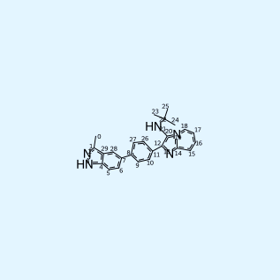 Cc1n[nH]c2ccc(-c3ccc(-c4nc5ccccn5c4NC(C)(C)C)cc3)cc12